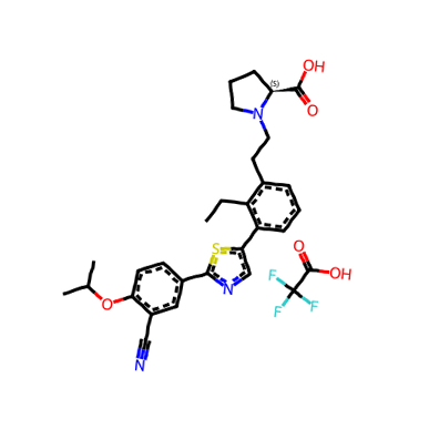 CCc1c(CCN2CCC[C@H]2C(=O)O)cccc1-c1cnc(-c2ccc(OC(C)C)c(C#N)c2)s1.O=C(O)C(F)(F)F